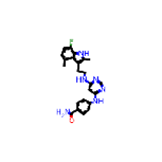 Cc1[nH]c2c(F)ccc(C)c2c1CCNc1cc(Nc2ccc(C(N)=O)cc2)ncn1